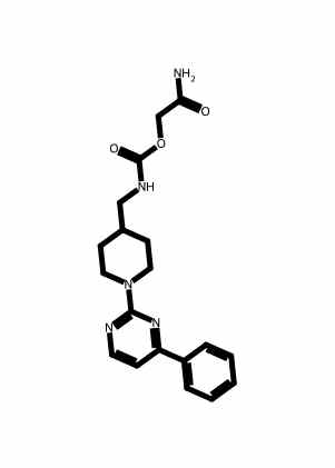 NC(=O)COC(=O)NCC1CCN(c2nccc(-c3ccccc3)n2)CC1